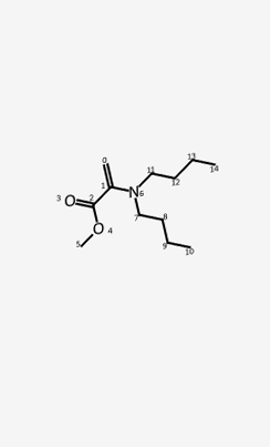 C=C(C(=O)OC)N(CCCC)CCCC